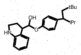 CC(C)C(CC(C)(C)C)c1ccc(OC(O)C2CCNc3ccccc32)cc1